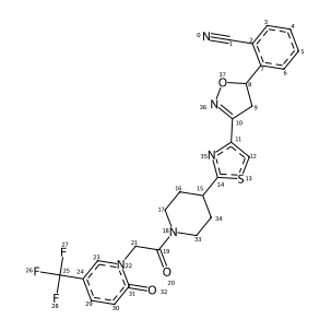 N#Cc1ccccc1C1CC(c2csc(C3CCN(C(=O)Cn4cc(C(F)(F)F)ccc4=O)CC3)n2)=NO1